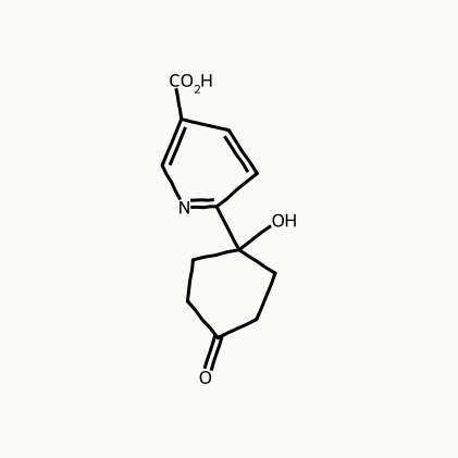 O=C1CCC(O)(c2ccc(C(=O)O)cn2)CC1